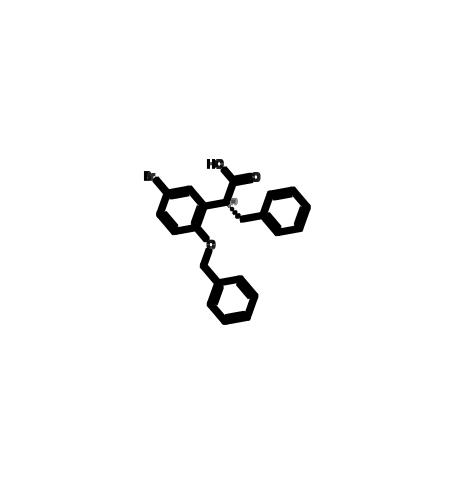 O=C(O)[C@H](Cc1ccccc1)c1cc(Br)ccc1OCc1ccccc1